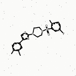 Cc1ccc(-c2csc(N3CCN(S(=O)(=O)c4cc(F)ccc4C)CC3)n2)cc1C